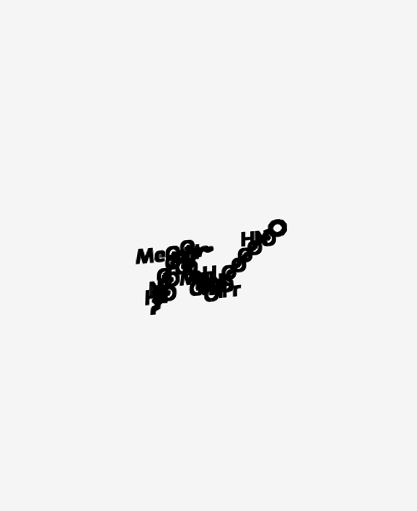 C/C=C/C1=CN2C(=O)c3cc(OC)c(OCCCOc4cc5c(cc4OC)C(=O)N4C=C(/C=C/C)C[C@H]4C=N5)cc3N(C(=O)OCc3ccc(NC(=O)[C@H](C)NC(=O)[C@@H](NC(=O)CCOCCOCCOCCOCCNC(=O)CC4CCCCCCCCC4)C(C)C)cc3)CC2C1